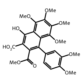 COC(=O)c1c(C(=O)O)c(O)c2c(OC)c(OC)c(OC)c(OC)c2c1-c1ccc(OC)c(OC)c1